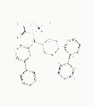 CC(C)(C)N(C(=O)O)C(c1cncc(-c2ccccc2)c1)C1CCCCC1.c1ccc(-c2cccnc2)cc1